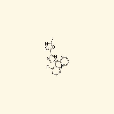 Cc1nnc(C2=N[N+](c3ncccn3)(c3c(F)cccc3F)C=N2)o1